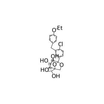 CCOc1ccc(Cc2cc(C34OCC(C(C)O)(O3)[C@@H](O)[C@H](O)[C@H]4O)ccc2Cl)cc1